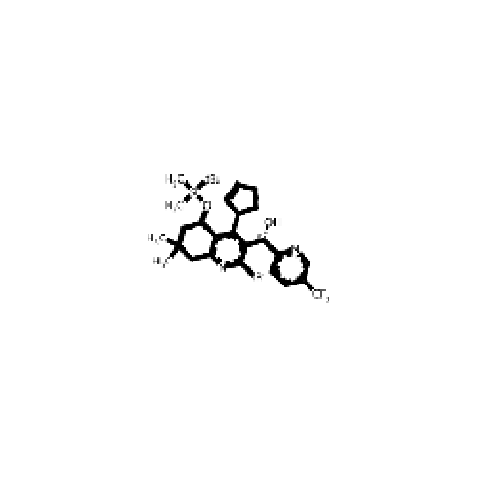 CC(C)c1nc2c(c(C3C=CCC3)c1[C@H](O)c1ccc(C(F)(F)F)cn1)C(O[Si](C)(C)C(C)(C)C)CC(C)(C)C2